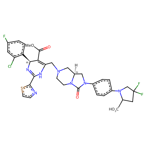 COC(=O)C1=C(CN2CCN3C(=O)N(c4ccc(N5CC(F)(F)CC5C(=O)O)cc4)C[C@@H]3C2)NC(c2nccs2)=N[C@H]1c1ccc(F)cc1Cl